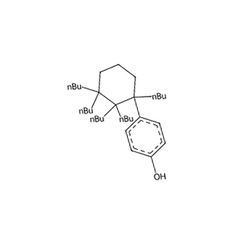 CCCCC1(CCCC)CCCC(CCCC)(c2ccc(O)cc2)C1(CCCC)CCCC